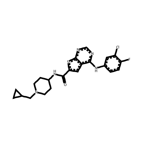 O=C(NC1CCN(CC2CC2)CC1)c1cc2c(Nc3ccc(F)c(Cl)c3)ncnc2s1